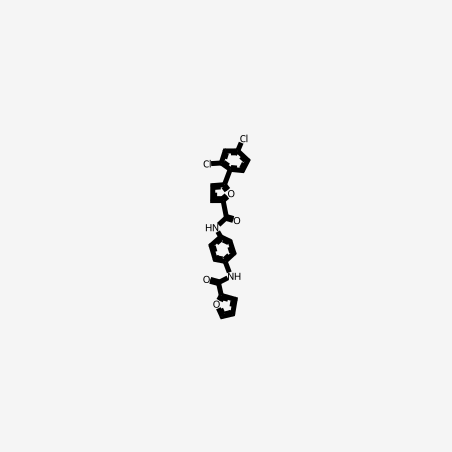 O=C(Nc1ccc(NC(=O)c2ccc(-c3ccc(Cl)cc3Cl)o2)cc1)c1ccco1